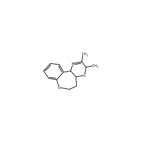 CC1=NC2c3ccccc3OCCC2SC1C